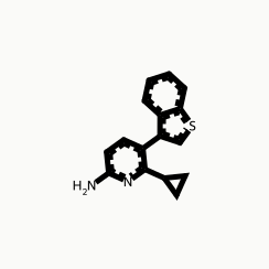 Nc1ccc(-c2csc3ccccc23)c(C2CC2)n1